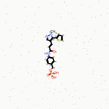 Cn1ncc(/C=C/C(=O)Nc2ccc(COP(=O)(O)O)cc2)c1-c1cccs1